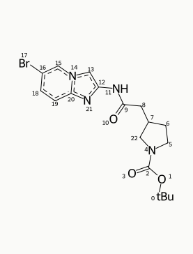 CC(C)(C)OC(=O)N1CCC(CC(=O)Nc2cn3cc(Br)ccc3n2)C1